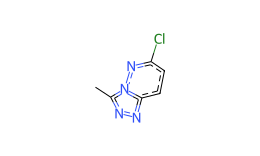 Cc1nnc2ccc(Cl)nn12